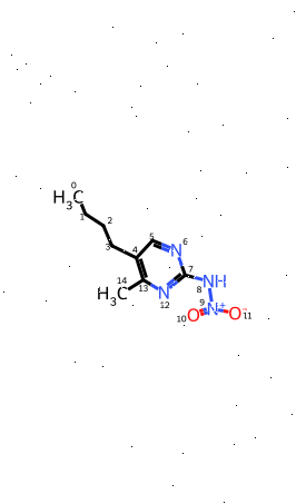 CCCCc1cnc(N[N+](=O)[O-])nc1C